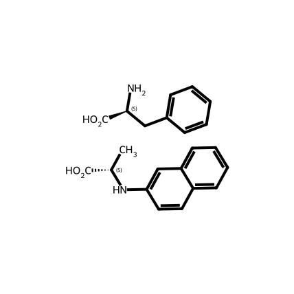 C[C@H](Nc1ccc2ccccc2c1)C(=O)O.N[C@@H](Cc1ccccc1)C(=O)O